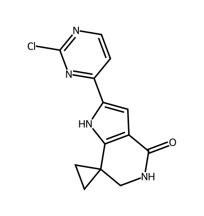 O=C1NCC2(CC2)c2[nH]c(-c3ccnc(Cl)n3)cc21